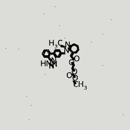 CCOC(=O)OCCOC(=O)C=C1CCCCc2nc(CC)n(Cc3ccc(-c4ccccc4-c4nnn[nH]4)cc3)c21